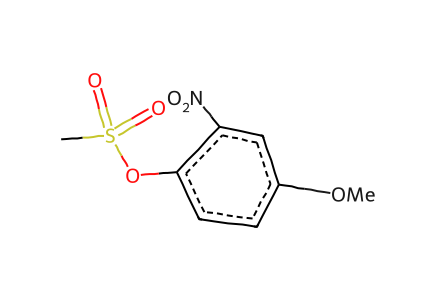 COc1ccc(OS(C)(=O)=O)c([N+](=O)[O-])c1